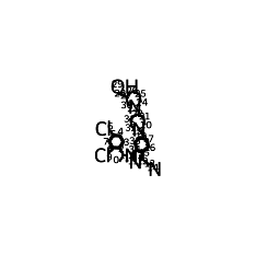 CC(c1ccc(Cl)cc1Cl)n1nc(C#N)c2ccc(N3CCC(N4CCCC(CO)C4)CC3)cc21